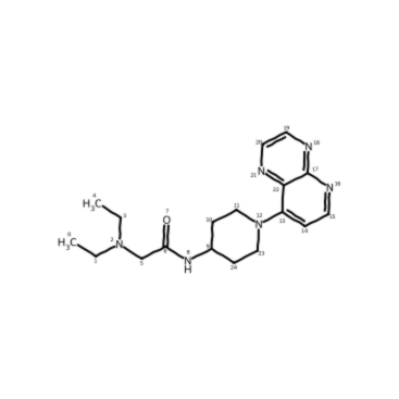 CCN(CC)CC(=O)NC1CCN(c2ccnc3nccnc23)CC1